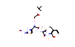 C=CC1=C(C(=O)O)N2C(=O)[C@@H](NC(=O)/C(=N\OCC(=O)OC(C)(C)C)c3csc(NC=O)n3)[C@@H]2SC1